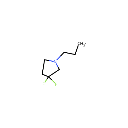 [CH2]CCN1CCC(F)(F)C1